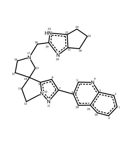 c1ccc2ncc(-c3cc4n(n3)CCC43CCN(Cc4nc5c([nH]4)CCC5)C3)cc2c1